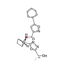 C[C@@H](O)c1nnc([C@H]2C3CC2[C@H]3NC(=O)c2cc(-c3ccccc3)on2)o1